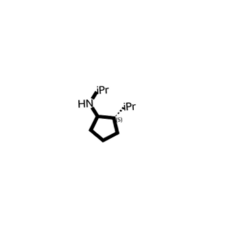 CC(C)NC1CCC[C@H]1C(C)C